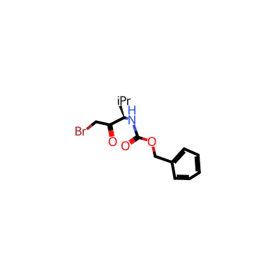 CC(C)[C@@H](NC(=O)OCc1ccccc1)C(=O)CBr